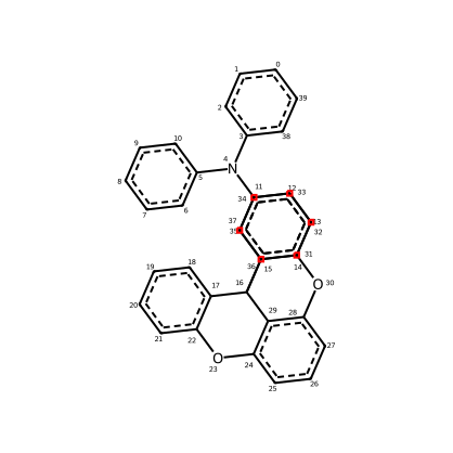 c1ccc(N(c2ccccc2)c2cccc(C34c5ccccc5Oc5cccc(c53)Oc3ccccc34)c2)cc1